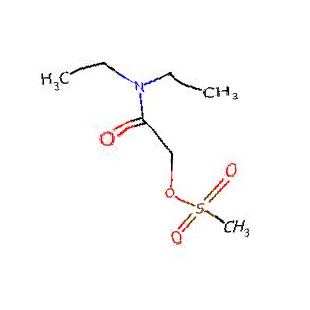 CCN(CC)C(=O)COS(C)(=O)=O